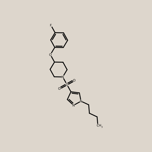 CCCCn1cc(S(=O)(=O)N2CCC(Oc3cccc(F)c3)CC2)cn1